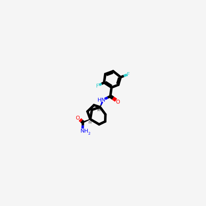 NC(=O)[C@@]12CCC[C@@](NC(=O)c3cc(F)ccc3F)(CC1)C2